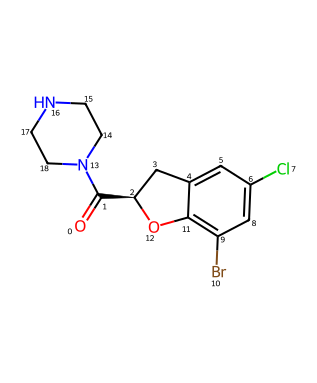 O=C([C@H]1Cc2cc(Cl)cc(Br)c2O1)N1CCNCC1